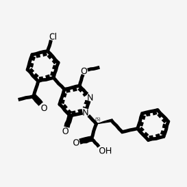 COc1nn([C@@H](CCc2ccccc2)C(=O)O)c(=O)cc1-c1cc(Cl)ccc1C(C)=O